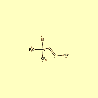 CCCC=CC(CC)(C(F)(F)F)C(F)(F)F